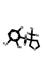 [2H]C([2H])([2H])C1(S(=O)(=O)c2c(Cl)ccc(N)c2O)CCOC1